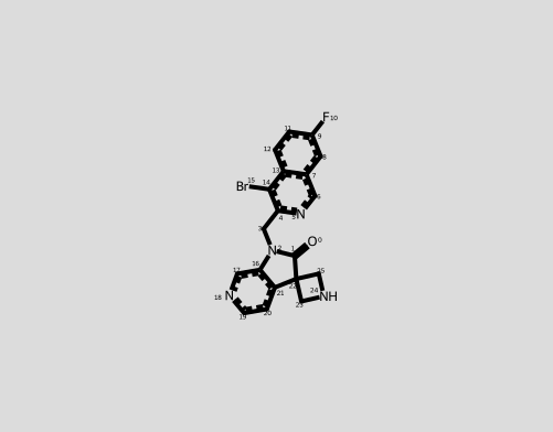 O=C1N(Cc2ncc3cc(F)ccc3c2Br)c2cnccc2C12CNC2